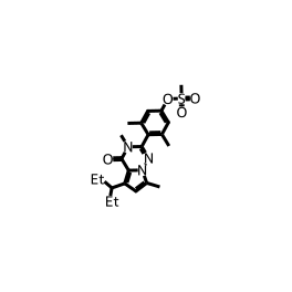 CCC(CC)c1cc(C)n2nc(-c3c(C)cc(OS(C)(=O)=O)cc3C)n(C)c(=O)c12